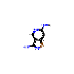 CNc1cc2snc(N)c2cn1